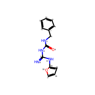 N=C(NC(=O)NCc1ccccc1)Nc1ccco1